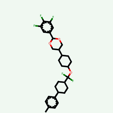 Cc1ccc(C2CCC(C(F)(F)OC3CCC(C4COC(c5cc(F)c(F)c(F)c5)OC4)CC3)CC2)cc1